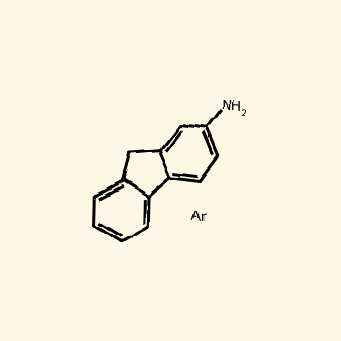 Nc1ccc2c(c1)Cc1ccccc1-2.[Ar]